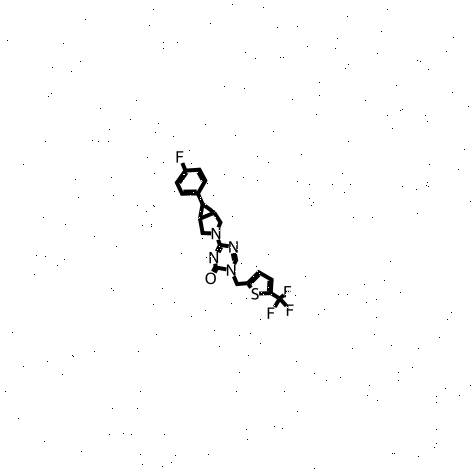 O=c1nc(N2CC3C(C2)C3c2ccc(F)cc2)ncn1Cc1ccc(C(F)(F)F)s1